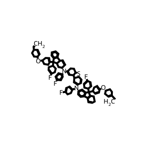 C=CC1=CCC(OC2=CCC(C3(C4C=CC(F)=CC4)C4=C(C=CCC4)c4ccc(N(C5=CC6C(C=C5)SC5CCC(N(c7ccc(F)cc7)C7C=CC8c9ccccc9C(C9=CCC(OC%10C=CC(C=C)CC%10)CC9)(C9CC=C(F)CC9)C8C7)=CC56)C5=CC=C(F)CC5)cc43)C=C2)CC1